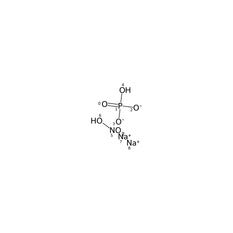 O=P([O-])([O-])O.O=[N+]([O-])O.[Na+].[Na+]